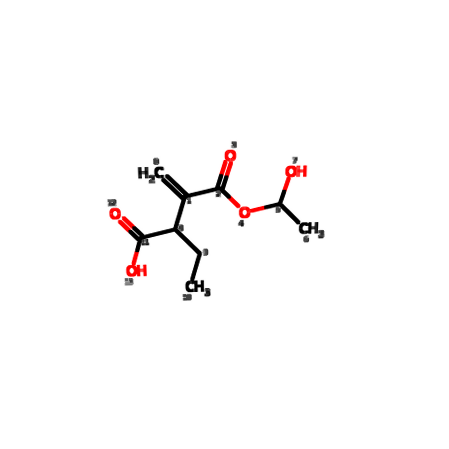 C=C(C(=O)OC(C)O)C(CC)C(=O)O